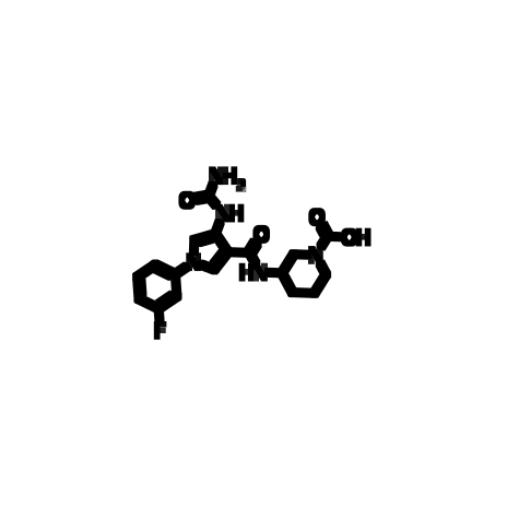 NC(=O)Nc1cn(-c2cccc(F)c2)cc1C(=O)NC1CCCN(C(=O)O)C1